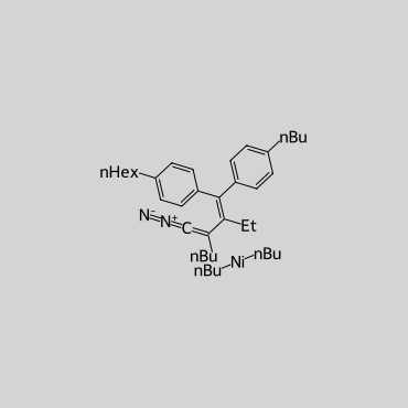 CCCCCCc1ccc(C(=C(CC)C(=C=[N+]=[N-])CCCC)c2ccc(CCCC)cc2)cc1.CCC[CH2][Ni][CH2]CCC